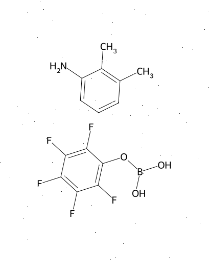 Cc1cccc(N)c1C.OB(O)Oc1c(F)c(F)c(F)c(F)c1F